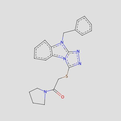 O=C(CSc1nnc2n(Cc3ccccc3)c3ccccc3n12)N1CCCC1